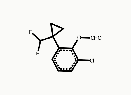 O=COc1c(Cl)cccc1C1(C(F)F)CC1